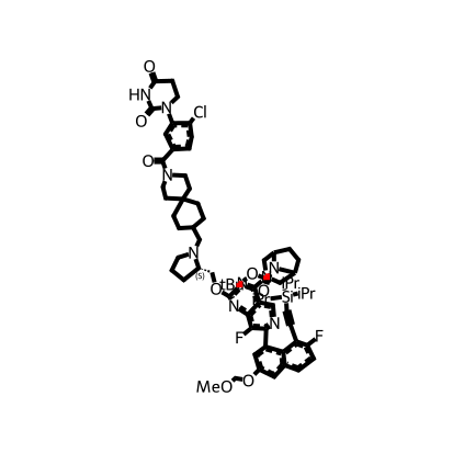 COCOc1cc(-c2ncc3c(N4CC5CCC(C4)N5C(=O)OC(C)(C)C)nc(OC[C@@H]4CCCN4CC4CCC5(CC4)CCN(C(=O)c4ccc(Cl)c(N6CCC(=O)NC6=O)c4)CC5)nc3c2F)c2c(C#C[Si](C(C)C)(C(C)C)C(C)C)c(F)ccc2c1